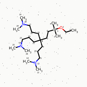 CCO[Si](C)(C)CCC(CCCN(C)C)(CCCN(C)C)CCCN(C)C